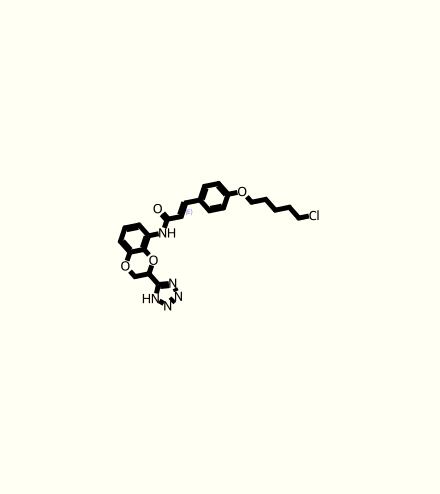 O=C(/C=C/c1ccc(OCCCCCCl)cc1)Nc1cccc2c1OC(c1nnn[nH]1)CO2